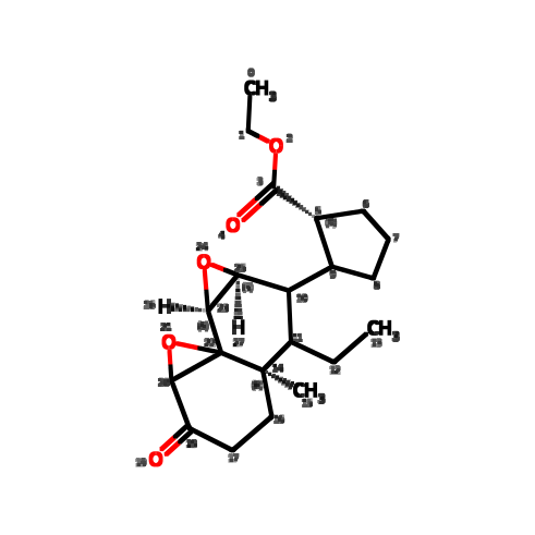 CCOC(=O)[C@@H]1CCCC1C1C(CC)[C@@]2(C)CCC(=O)C3OC32[C@H]2O[C@@H]12